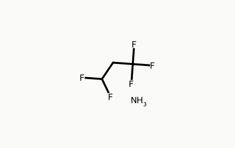 FC(F)CC(F)(F)F.N